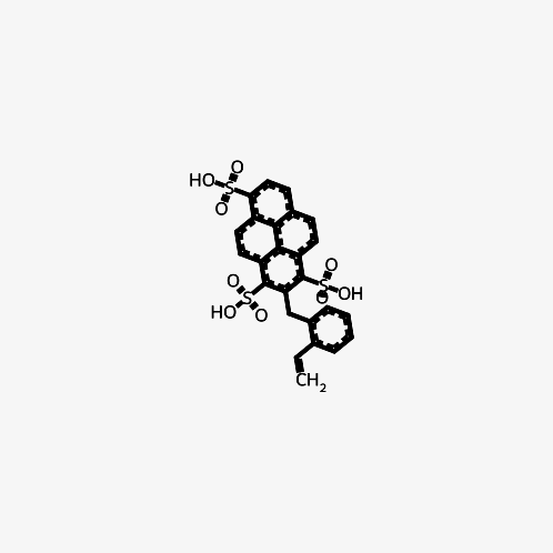 C=Cc1ccccc1Cc1c(S(=O)(=O)O)c2ccc3ccc(S(=O)(=O)O)c4ccc(c1S(=O)(=O)O)c2c34